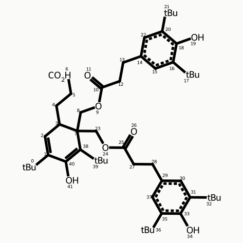 CC(C)(C)C1=CC(CCC(=O)O)C(COC(=O)CCc2cc(C(C)(C)C)c(O)c(C(C)(C)C)c2)(COC(=O)CCc2cc(C(C)(C)C)c(O)c(C(C)(C)C)c2)C(C(C)(C)C)=C1O